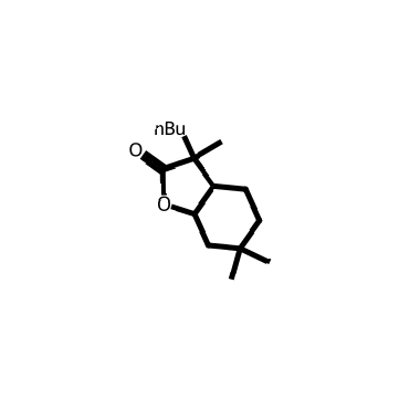 CCCCC1(C)C(=O)OC2CC(C)(C)CCC21